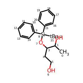 CC(O)C(CCO)O[Si](c1ccccc1)(c1ccccc1)C(C)(C)C